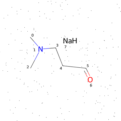 CN(C)CCC=O.[NaH]